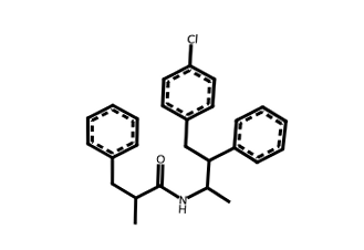 CC(Cc1ccccc1)C(=O)NC(C)C(Cc1ccc(Cl)cc1)c1ccccc1